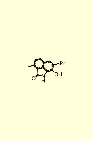 Cc1ccc2cc(C(C)C)c(O)c3c2c1C(=O)N3